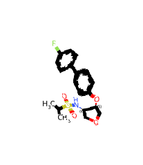 CC(C)S(=O)(=O)N[C@H]1COC[C@H]1Oc1ccc(-c2ccc(F)cc2)cc1